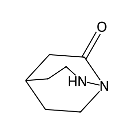 O=C1CC2CCNN1CC2